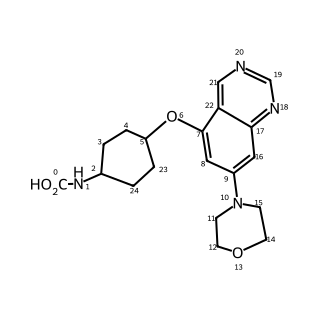 O=C(O)NC1CCC(Oc2cc(N3CCOCC3)cc3ncncc23)CC1